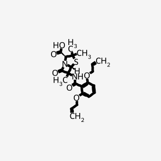 C=CCOc1cccc(OCC=C)c1C(=O)NC1(C)C(=O)N2[C@@H](C(=O)O)C(C)(C)S[C@@H]21